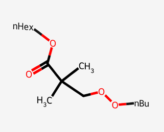 CCCCCCOC(=O)C(C)(C)COOCCCC